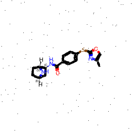 Cc1coc(Sc2ccc(C(=O)N[C@@H]3C[C@H]4CC[C@@H]3N4)cc2)n1